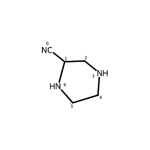 N#CC1CNC[CH]N1